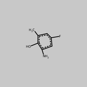 Cc1cc(F)cc(N)c1O